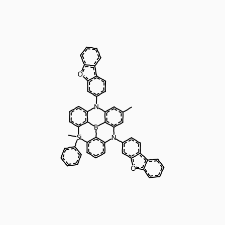 Cc1cc2c3c(c1)N(c1ccc4c(c1)oc1ccccc14)c1cccc4c1B3c1c(cccc1[Si]4(C)c1ccccc1)N2c1ccc2c(c1)oc1ccccc12